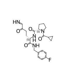 N=CC(=O)CC[C@H](NC(=O)[C@@H]1CCCN1C(=O)C1CC1)C(=O)NCc1ccc(F)cc1